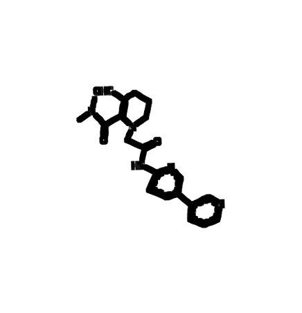 CN(C)C(=O)C1=C(C=O)CCCN1CC(=O)Nc1ccc(-c2cccnc2)cn1